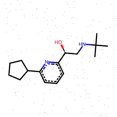 CC(C)(C)NC[C@H](O)c1cccc(C2CCCC2)n1